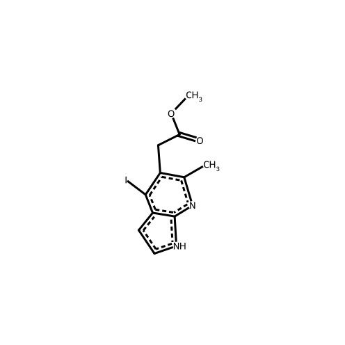 COC(=O)Cc1c(C)nc2[nH]ccc2c1I